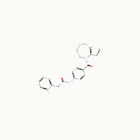 O=C(Cc1ccccc1Cl)Nc1ccc(C(=O)N2CCCCc3sccc32)cc1